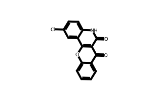 O=c1[nH]c2ccc(Cl)cc2c2oc3ccccc3c(=O)c12